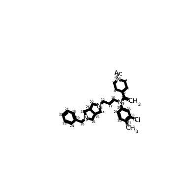 C=C(C1CCN(C(C)=O)CC1)N(CCCN1CC2CN(Cc3ccccc3)CC2C1)c1ccc(C)c(Cl)c1